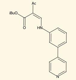 CC(=O)C(=CNc1cccc(-c2ccncc2)c1)C(=O)OCC(C)C